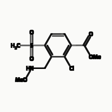 CONCc1c(S(C)(=O)=O)ccc(C(=O)OC)c1Cl